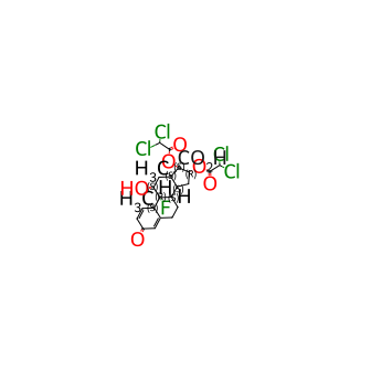 C[C@]12C=CC(=O)C=C1CC[C@H]1[C@@H]3C[C@@H](OC(=O)C(Cl)Cl)[C@](OC(=O)C(Cl)Cl)(C(=O)O)[C@@]3(C)C[C@H](O)[C@@]12F